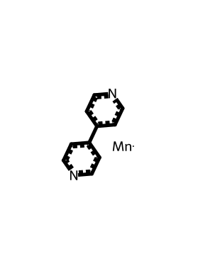 [Mn].c1cc(-c2ccncc2)ccn1